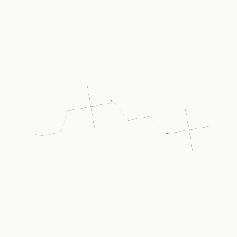 CC(C)(C)CCCNC(C)(C)CCN